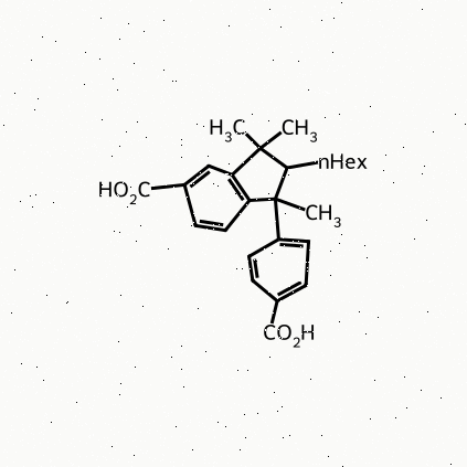 [CH2]CCCCCC1C(C)(C)c2cc(C(=O)O)ccc2C1(C)c1ccc(C(=O)O)cc1